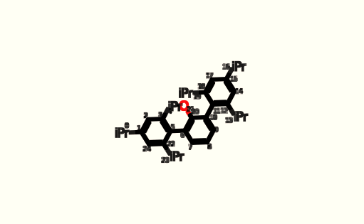 CC(C)c1cc(C(C)C)c(-c2cccc(-c3c(C(C)C)cc(C(C)C)cc3C(C)C)c2[O])c(C(C)C)c1